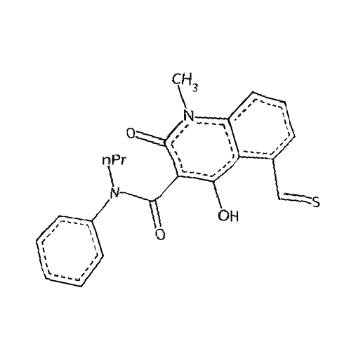 CCCN(C(=O)c1c(O)c2c(C=S)cccc2n(C)c1=O)c1ccccc1